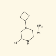 CC(N)=O.ClC1CN(C2CCC2)CCN1